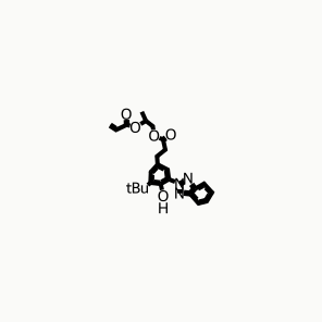 C=CC(=O)OC(C)COC(=O)CCc1cc(-n2nc3ccccc3n2)c(O)c(C(C)(C)C)c1